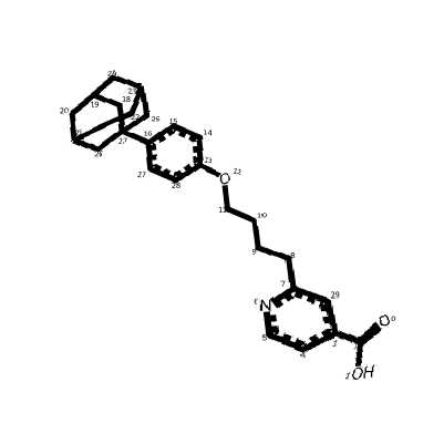 O=C(O)c1ccnc(CCCCOc2ccc(C34CC5CC(CC(C5)C3)C4)cc2)c1